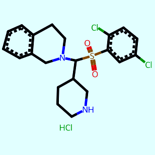 Cl.O=S(=O)(c1cc(Cl)ccc1Cl)C(C1CCCNC1)N1CCc2ccccc2C1